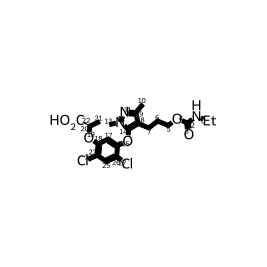 CCNC(=O)OCCCc1c(C)nn(C)c1Oc1cc(O[C@@H](C)C(=O)O)c(Cl)cc1Cl